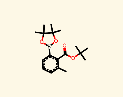 Cc1cccc(B2OC(C)(C)C(C)(C)O2)c1C(=O)OC(C)(C)C